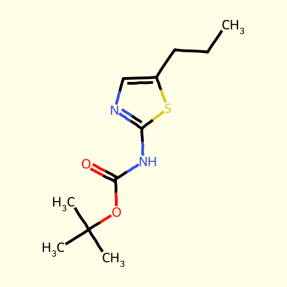 CCCc1cnc(NC(=O)OC(C)(C)C)s1